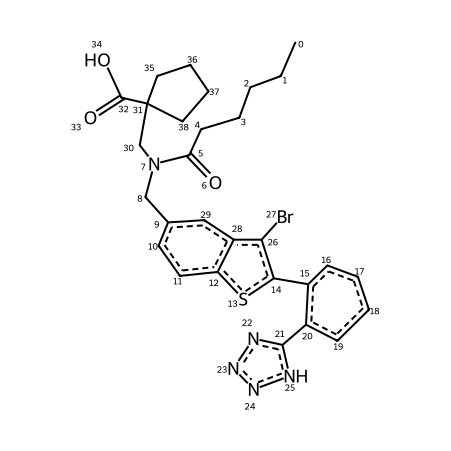 CCCCCC(=O)N(Cc1ccc2sc(-c3ccccc3-c3nnn[nH]3)c(Br)c2c1)CC1(C(=O)O)CCCC1